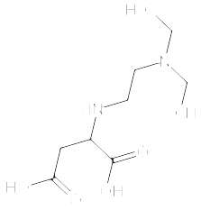 CCN(CC)CCNC(CC(=O)O)C(=O)O